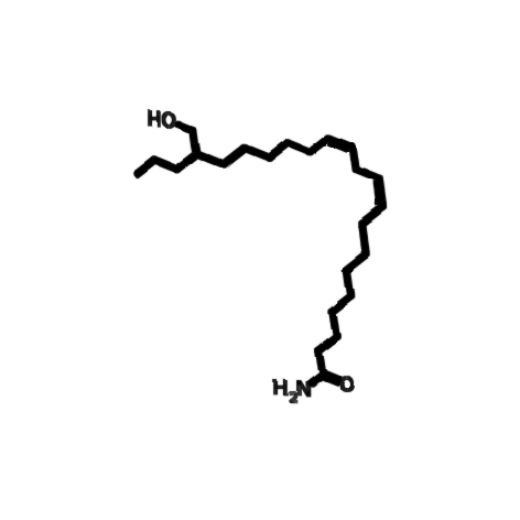 CCCC(CO)CCCCC/C=C\C/C=C\CCCCCCCC(N)=O